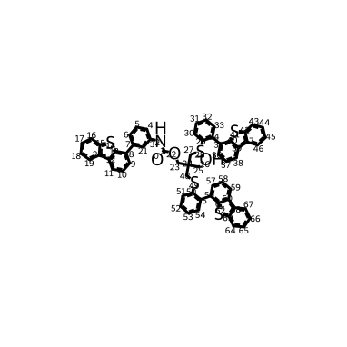 O=C(Nc1cccc(-c2cccc3c2sc2ccccc23)c1)OCC(CO)(CSc1ccccc1-c1cccc2c1sc1ccccc12)CSc1ccccc1-c1cccc2c1sc1ccccc12